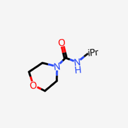 CC(C)NC(=O)N1CCOCC1